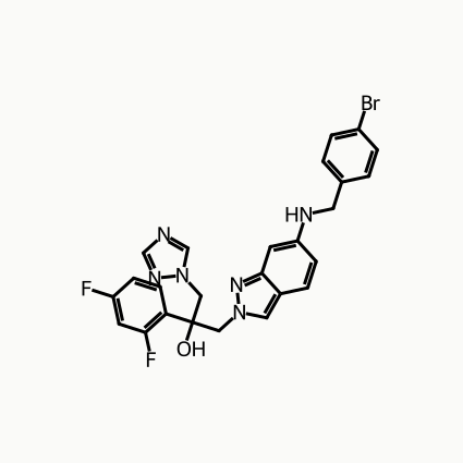 OC(Cn1cncn1)(Cn1cc2ccc(NCc3ccc(Br)cc3)cc2n1)c1ccc(F)cc1F